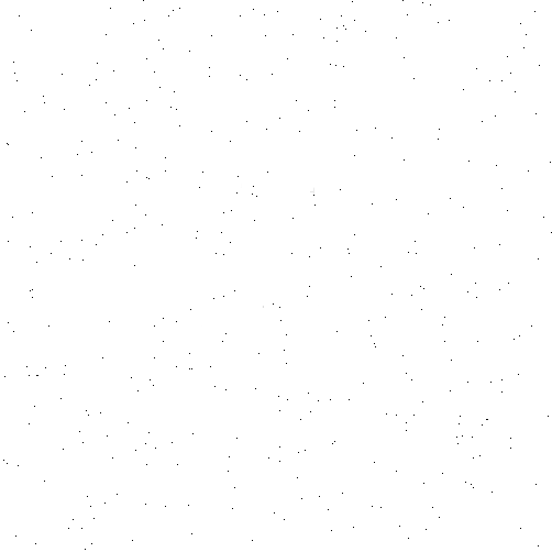 Cc1cc2c(cc1O)C1(CC2(C)C)CC(C)(C)c2cc(C)c(O)cc21